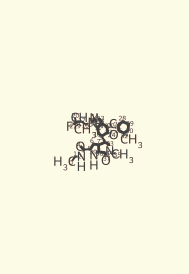 CCNC(=O)c1cc2c(-c3cc4c(cnn4CCC(C)(C)F)cc3Oc3c(C)cccc3C)cn(C)c(=O)c2[nH]1